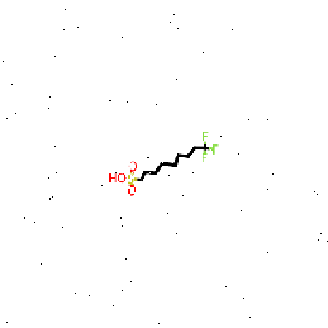 O=S(=O)(O)CCCCCCCCC(F)(F)F